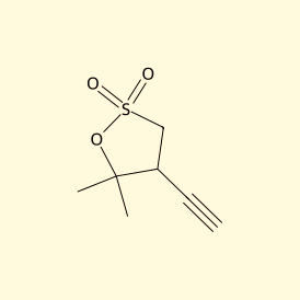 C#CC1CS(=O)(=O)OC1(C)C